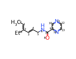 CC=C(/C=C/CNC(=O)c1cnccn1)CC